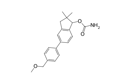 COCc1ccc(-c2ccc3c(c2)CC(C)(C)C3OC(N)=O)cc1